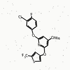 COc1cc(Oc2csc(C(F)(F)F)c2)nc(Oc2ccc(F)c(Cl)c2)c1